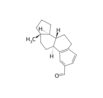 C[C@@]12CCC[C@H]1[C@@H]1CCc3ccc(C=O)cc3[C@H]1CC2